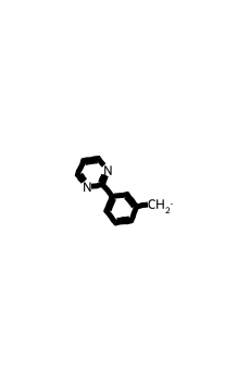 [CH2]c1cccc(-c2ncccn2)c1